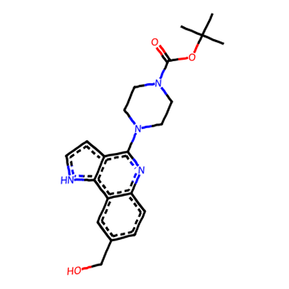 CC(C)(C)OC(=O)N1CCN(c2nc3ccc(CO)cc3c3[nH]ccc23)CC1